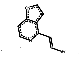 [CH2]C(C)C=Cc1nccc2occc12